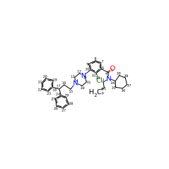 C=CCN(C(=O)c1cccc(N2CCN(CCC(c3ccccc3)c3ccccc3)CC2)c1Cl)C1CCCCC1